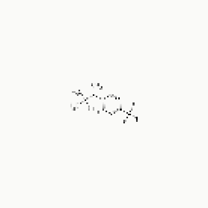 C=C(c1ccc(C(F)(F)F)cc1)C(C)(C)C